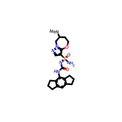 CNC1CCOc2c(S(N)(=O)=NC(=O)Nc3c4c(cc5c3CCC5)CCC4)cnn2C1